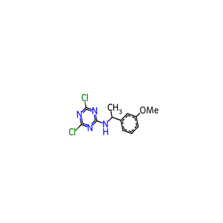 COc1cccc(C(C)Nc2nc(Cl)nc(Cl)n2)c1